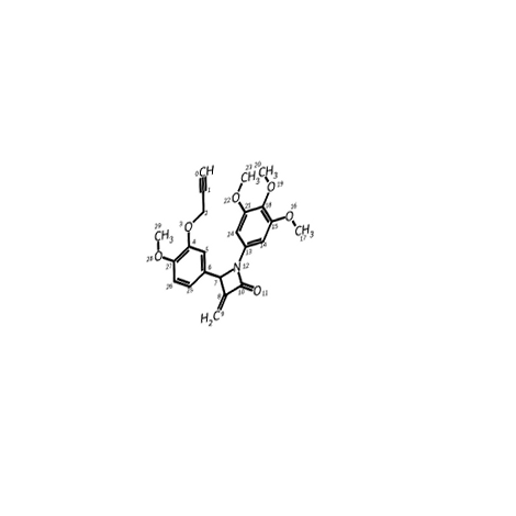 C#CCOc1cc(C2C(=C)C(=O)N2c2cc(OC)c(OC)c(OC)c2)ccc1OC